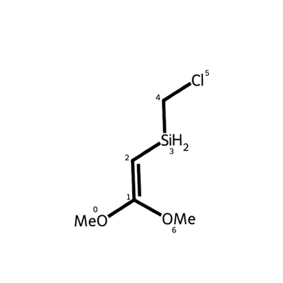 COC(=C[SiH2]CCl)OC